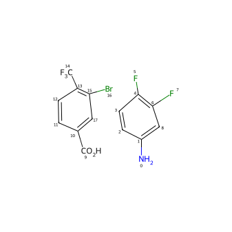 Nc1ccc(F)c(F)c1.O=C(O)c1ccc(C(F)(F)F)c(Br)c1